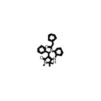 CN1C(=O)C2=C(Nc3ccccc3N(C(=O)Cc3ccccc3)C2c2ccccc2)C1(C)C